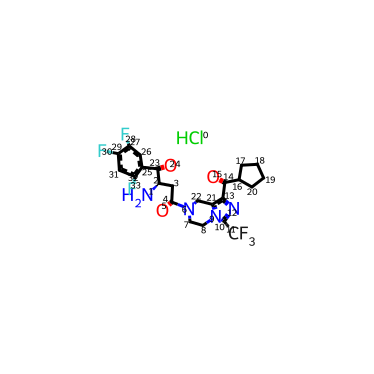 Cl.N[C@H](CC(=O)N1CCn2c(C(F)(F)F)nc(C(=O)C3CCCC3)c2C1)C(=O)c1cc(F)c(F)cc1F